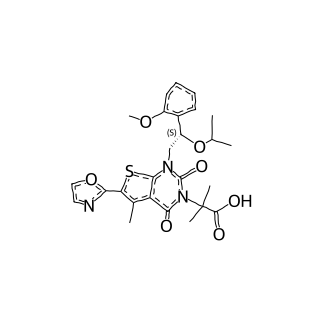 COc1ccccc1[C@@H](Cn1c(=O)n(C(C)(C)C(=O)O)c(=O)c2c(C)c(-c3ncco3)sc21)OC(C)C